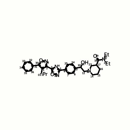 CCCc1c(-c2nc(-c3ccc(C(O)CN4CCCC(C(=O)N(CC)CC)C4)cc3)no2)noc1-c1ccccc1